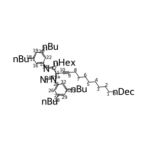 CCCCCCCCCCCCCCCCCCC#CC(C(CCCCCC)=Nc1cc(CCCC)cc(CCCC)c1)=[N+]([Ni])c1cc(CCCC)cc(CCCC)c1